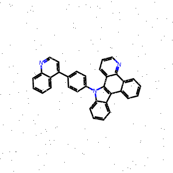 c1ccc2c(-c3ccc(-n4c5ccccc5c5c6ccccc6c6ncccc6c54)cc3)ccnc2c1